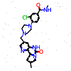 CNC(=O)c1ccc(N2CCN(Cc3cnc4c(c3)[nH]c(=O)n3cc(C)cc43)CC2)c(Cl)c1